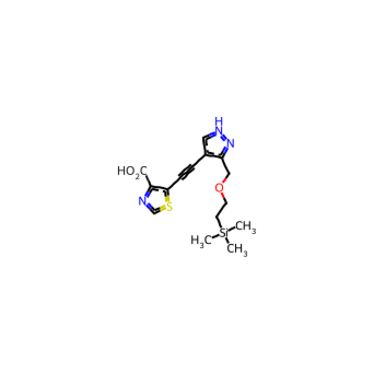 C[Si](C)(C)CCOCc1n[nH]cc1C#Cc1scnc1C(=O)O